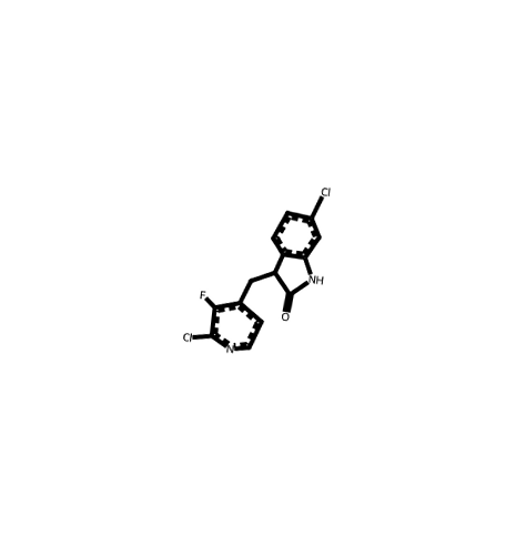 O=C1Nc2cc(Cl)ccc2C1Cc1ccnc(Cl)c1F